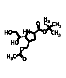 CC(=O)OC[C@@H]1C[C@H](C(=O)OC(C)(C)C)N[C@H]1C(O)CO